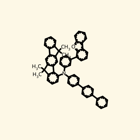 CC1(C)c2ccccc2-c2cc3c(cc21)-c1c(N(c2ccc(-c4ccc(-c5ccccc5)cc4)cc2)c2cccc(-c4cccc5c4oc4ccccc45)c2)cccc1C3(C)C